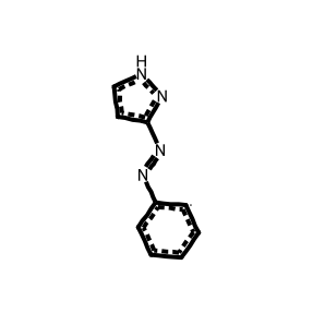 [c]1ccccc1N=Nc1cc[nH]n1